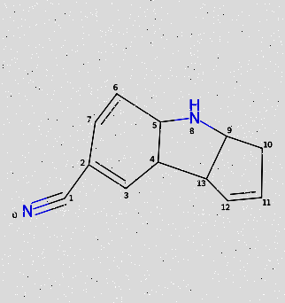 N#CC1=CC2C(C=C1)NC1CC=CC12